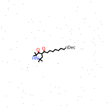 CCCCCCCCCCCCCCCCCC(=O)C1CC(C)(C)NC(C)(C)C1=O